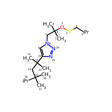 CC(C)CSOC(C)(C)Cn1cc(C(C)(C)CC(C)(C)C(C)C)nn1